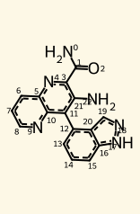 NC(=O)c1nc2cccnc2c(-c2cccc3[nH]ncc23)c1N